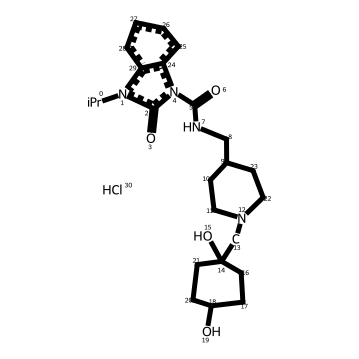 CC(C)n1c(=O)n(C(=O)NCC2CCN(CC3(O)CCC(O)CC3)CC2)c2ccccc21.Cl